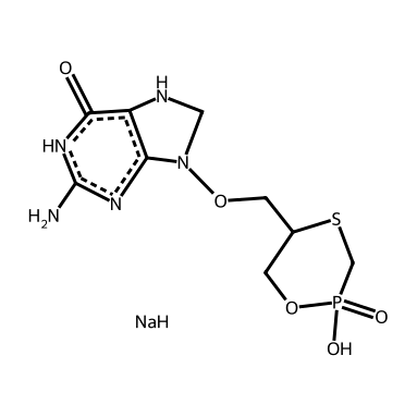 Nc1nc2c(c(=O)[nH]1)NCN2OCC1COP(=O)(O)CS1.[NaH]